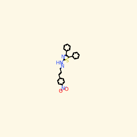 O=[N+]([O-])c1ccc(C=CC=NNc2nc(-c3ccccc3)c(-c3ccccc3)s2)cc1